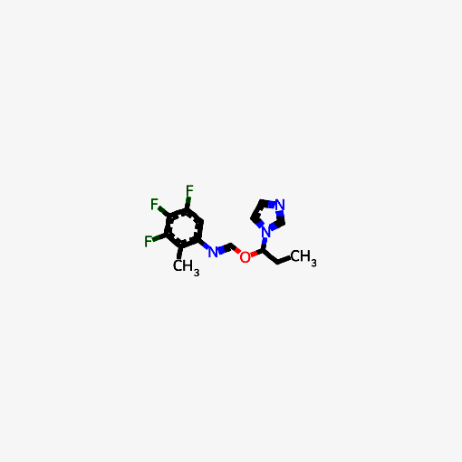 CCC(OC=Nc1cc(F)c(F)c(F)c1C)n1ccnc1